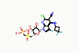 N#Cc1c(Cl)nc2c(c(F)cn2[C@@H]2O[C@H](CS(=O)(=O)CP(=O)(O)O)[C@@H](O)[C@H]2O)c1NC1CC(F)(F)C1